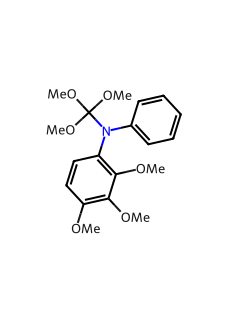 COc1ccc(N(c2ccccc2)C(OC)(OC)OC)c(OC)c1OC